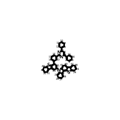 c1ccc(-c2cc(-c3ccccc3)nc(-c3cccc(-c4cc(-n5c6ccccc6c6c7sc8ccccc8c7ccc65)cc5c4sc4ccccc45)c3)n2)cc1